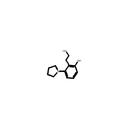 OCCc1c(O)cccc1N1CCCC1